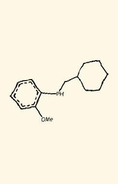 COc1ccccc1PCC1CCCCC1